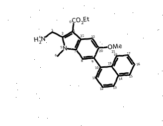 CCOC(=O)c1c(CN)n(C)c2cc(-c3cccc4ccccc34)c(OC)cc12